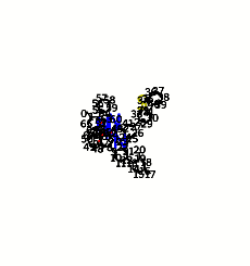 Cc1ccc(-c2ccc3c4ccc(-c5ccc(C)cc5C)cc4n(-c4ccc(-c5ccc6c(c5)sc5ccccc56)cc4-c4nc(-c5ccccc5)nc(-c5ccccc5)n4)c3c2)c(C)c1